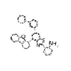 Nc1ccccc1-c1nc2c(-c3cccc4c3oc3ccccc34)cc(-c3cccc(-c4ccccc4)c3)cc2s1